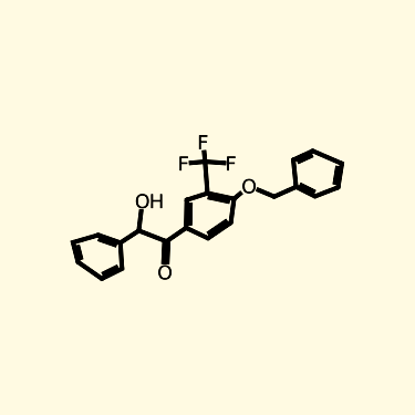 O=C(c1ccc(OCc2ccccc2)c(C(F)(F)F)c1)C(O)c1ccccc1